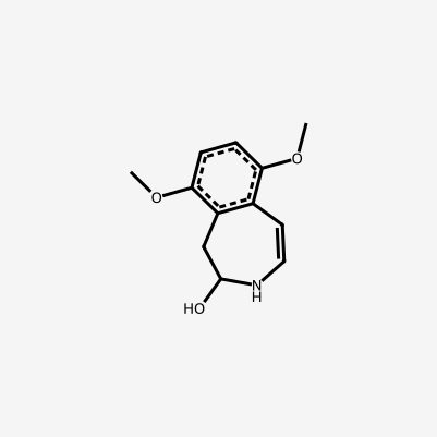 COc1ccc(OC)c2c1C=CNC(O)C2